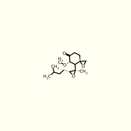 CO[C@@H]1C(=O)CC[C@]2(CO2)C1[C@@]1(C)O[C@@H]1CCC(C)C